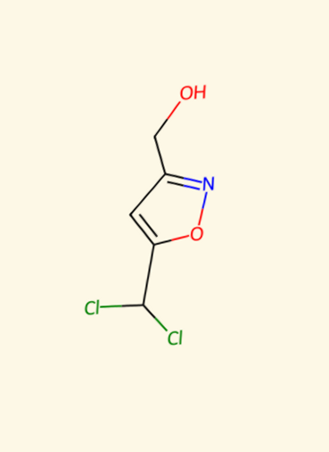 OCc1cc(C(Cl)Cl)on1